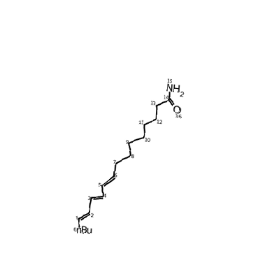 CCCCC=CC=CC=CCCCCCCCC(N)=O